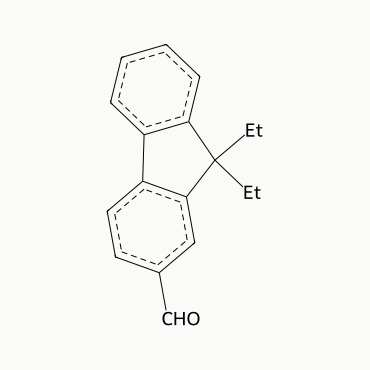 CCC1(CC)c2ccccc2-c2ccc(C=O)cc21